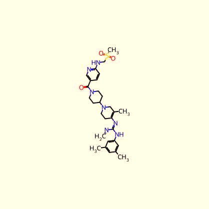 C=N/C(=N\C1=C(C)CN(C2CCN(C(=O)c3ccc(NCS(C)(=O)=O)nc3)CC2)CC1)Nc1cc(C)cc(C)c1